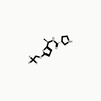 C[C@@H](NC(=O)[C@@H]1CCNC1)c1ccc(OCC(F)(F)F)s1